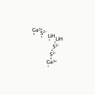 [Ga+3].[Ga+3].[LiH].[LiH].[S-2].[S-2].[S-2]